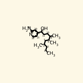 CCC[C@@H](C)C[C@@H](C)C(C)CCC(O)c1ccnc(N)c1